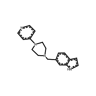 c1cc(N2CCN(Cc3ccc4cc[nH]c4c3)CC2)ccn1